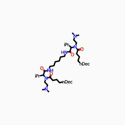 CCCCCCCCCCCCCC(=O)N(CCN(C)C)C(C(=O)NCCCCCCNC(=O)C(C(C)C)N(CCN(C)C)C(=O)CCCCCCCCCCCCC)C(C)C